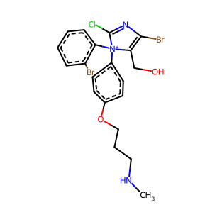 CNCCCOc1ccc([N+]2(c3ccccc3Br)C(Cl)=NC(Br)=C2CO)cc1